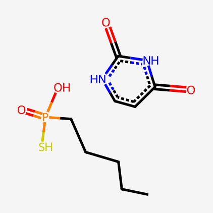 CCCCCP(=O)(O)S.O=c1cc[nH]c(=O)[nH]1